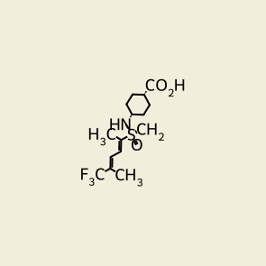 C=S(=O)(N[C@H]1CC[C@@H](C(=O)O)CC1)/C(C)=C/C=C(\C)C(F)(F)F